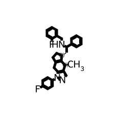 C[C@@H]1C2=C(CC[C@@H]2CC(NCc2ccccc2F)c2ccccc2)Cc2c1cnn2-c1ccc(F)cc1